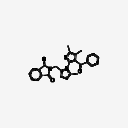 Cc1sc(-n2c(C)ccc2CN2C(=O)c3ccccc3C2=O)c(C(=O)c2ccccc2)c1C